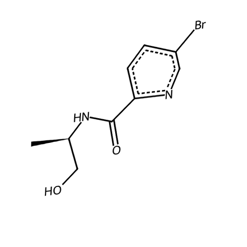 C[C@H](CO)NC(=O)c1ccc(Br)cn1